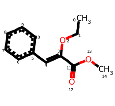 CCO/C(=C\c1ccccc1)C(=O)OC